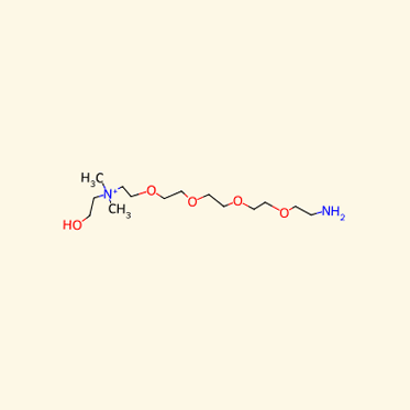 C[N+](C)(CCO)CCOCCOCCOCCOCCN